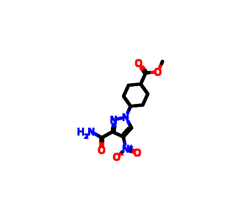 COC(=O)C1CCC(n2cc([N+](=O)[O-])c(C(N)=O)n2)CC1